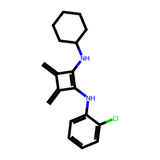 C=C1C(=C)C(NC2CCCCC2)=C1Nc1ccccc1Cl